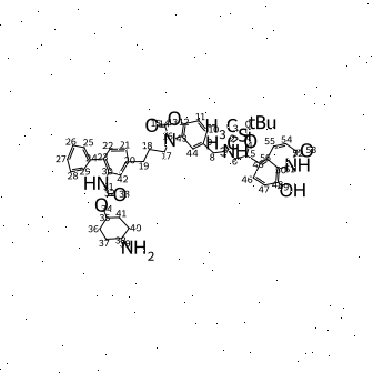 CC(C)(C)[Si](C)(C)O[C@H](CNCc1ccc2oc(=O)n(CCCc3ccc(-c4ccccc4)c(NC(=O)OC4CCC(N)CC4)c3)c2c1)c1ccc(O)c2[nH]c(=O)ccc12